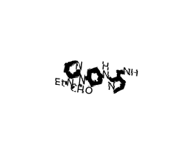 CCN(C=O)c1cccnc1N(C)c1ccc(Nc2ncccc2C=N)cc1